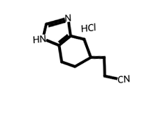 Cl.N#CCCC1CCc2[nH]cnc2C1